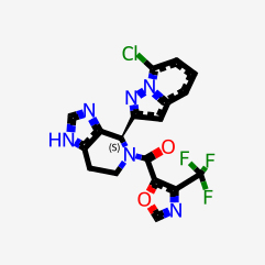 O=C(c1ocnc1C(F)(F)F)N1CCc2[nH]cnc2[C@H]1c1cc2cccc(Cl)n2n1